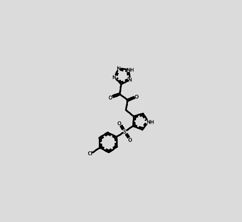 O=C(Cc1c[nH]cc1S(=O)(=O)c1ccc(Cl)cc1)C(=O)c1nn[nH]n1